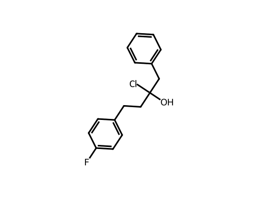 OC(Cl)(CCc1ccc(F)cc1)Cc1ccccc1